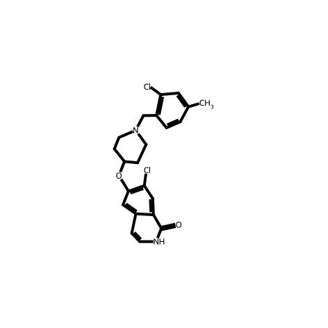 Cc1ccc(CN2CCC(Oc3cc4cc[nH]c(=O)c4cc3Cl)CC2)c(Cl)c1